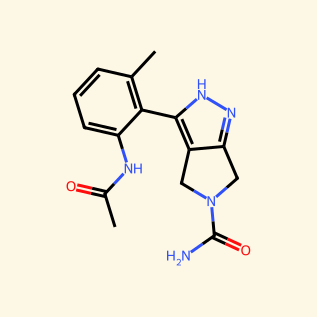 CC(=O)Nc1cccc(C)c1-c1[nH]nc2c1CN(C(N)=O)C2